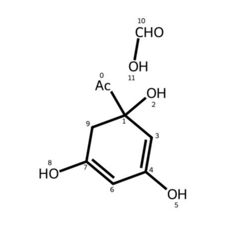 CC(=O)C1(O)C=C(O)C=C(O)C1.O=CO